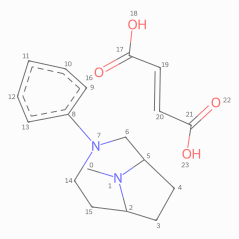 CN1C2CCC1CN(c1ccccc1)CC2.O=C(O)/C=C/C(=O)O